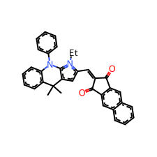 CCn1c(C=C2C(=O)c3cc4ccccc4cc3C2=O)cc2c1N(c1ccccc1)c1ccccc1C2(C)C